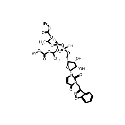 CC(C)OC(=O)OC(C)OP(=O)(OC(C)OC(=O)OC(C)C)OP(=O)(O)OC[C@H]1O[C@@H](n2ccc(=O)n(Cc3noc4ccccc34)c2=O)[C@@H](O)[C@H]1O